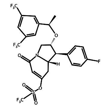 C[C@@H](O[C@H]1CN2C(=O)C=C(OS(=O)(=O)C(F)(F)F)C[C@H]2[C@@H]1c1ccc(F)cc1)c1cc(C(F)(F)F)cc(C(F)(F)F)c1